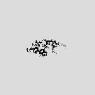 CCCS(=O)(=O)Nc1cc(-c2cc(NC(=O)c3csc(CN4C[C@@H](C)O[C@@H](C)C4)n3)c3cn[nH]c3c2)cnc1OC